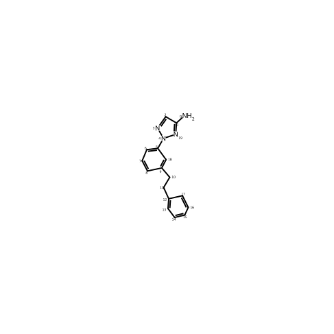 Nc1cnn(-c2cccc(C[CH]c3ccccc3)c2)n1